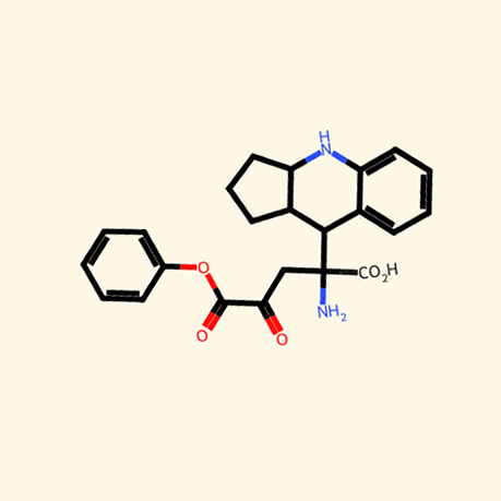 NC(CC(=O)C(=O)Oc1ccccc1)(C(=O)O)C1c2ccccc2NC2CCCC21